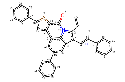 C=Cc1c(/C=C(\C)c2ccccc2)c2cc(-c3ccccc3)cc3c4cc(-c5ccccc5)sc4c(=O)n1c23